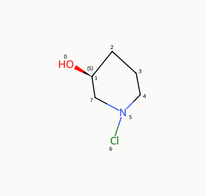 O[C@H]1CCCN(Cl)C1